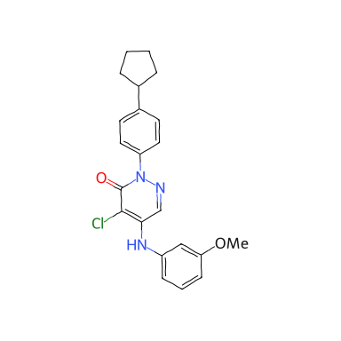 COc1cccc(Nc2cnn(-c3ccc(C4CCCC4)cc3)c(=O)c2Cl)c1